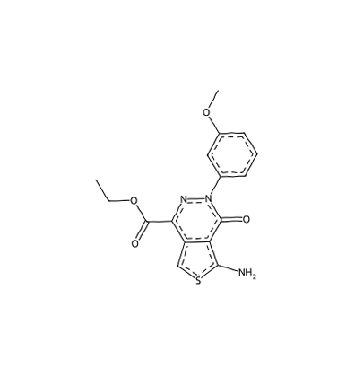 CCOC(=O)c1nn(-c2cccc(OC)c2)c(=O)c2c(N)scc12